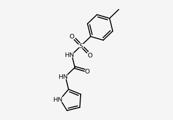 Cc1ccc(S(=O)(=O)NC(=O)Nc2ccc[nH]2)cc1